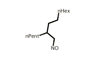 CCCCCCCCC(CCCCC)CN=O